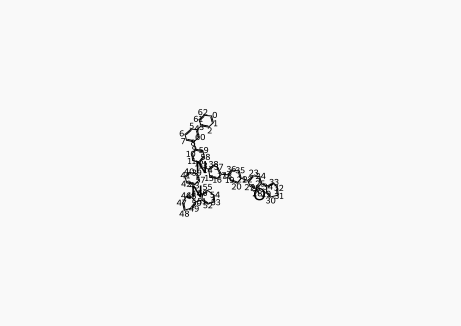 c1ccc(-c2cccc(-c3ccc(N(c4ccc(-c5ccc(-c6ccc7c(c6)oc6ccccc67)cc5)cc4)c4cccc(-n5c6ccccc6c6ccccc65)c4)cc3)c2)cc1